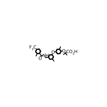 Cc1cc(CNC(=O)c2ccc(C(F)(F)F)cc2C)cc(Oc2ccc(OC(C)(C)C(=O)O)c(C)c2)c1